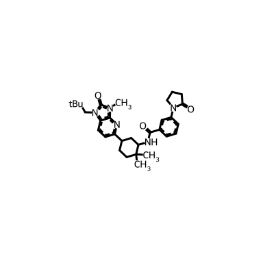 Cn1c(=O)n(CC(C)(C)C)c2ccc(C3CCC(C)(C)C(NC(=O)c4cccc(N5CCCC5=O)c4)C3)nc21